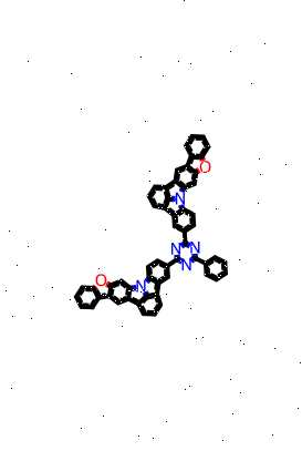 c1ccc(-c2nc(-c3ccc4c(c3)c3cccc5c6cc7c(cc6n4c35)oc3ccccc37)nc(-c3ccc4c(c3)c3cccc5c6cc7c(cc6n4c35)oc3ccccc37)n2)cc1